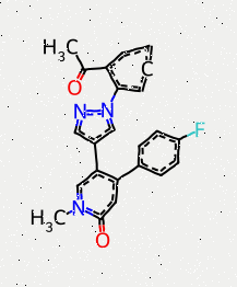 CC(=O)c1ccccc1-n1cc(-c2cn(C)c(=O)cc2-c2ccc(F)cc2)cn1